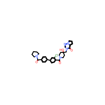 O=C(c1ccc(-c2ccc(C(=O)N3CCC(O)(Cn4cnn5cccc5c4=O)CC3)c(Cl)c2)cc1)N1CCCCC1